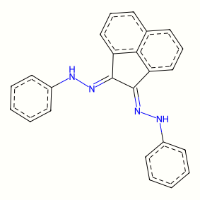 c1ccc(N/N=C2/C(=N/Nc3ccccc3)c3cccc4cccc2c34)cc1